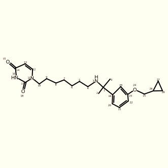 CC(C)(NCCCCCCCn1ccc(=O)[nH]c1=O)c1cccc(OCC2CC2)c1